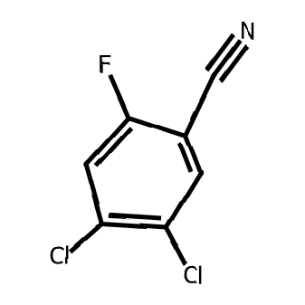 N#Cc1cc(Cl)c(Cl)cc1F